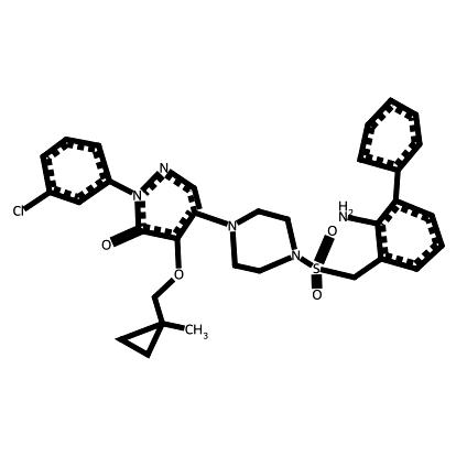 CC1(COc2c(N3CCN(S(=O)(=O)Cc4cccc(-c5ccccc5)c4N)CC3)cnn(-c3cccc(Cl)c3)c2=O)CC1